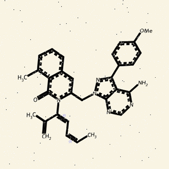 C=C(C)/C(=C\C=C/C)n1c(Cn2nc(-c3ccc(OC)cc3)c3c(N)ncnc32)cc2cccc(C)c2c1=O